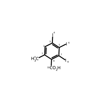 Cc1cc(I)c(I)c(I)c1C(=O)O